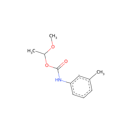 COC(C)OC(=O)Nc1[c]c(C)ccc1